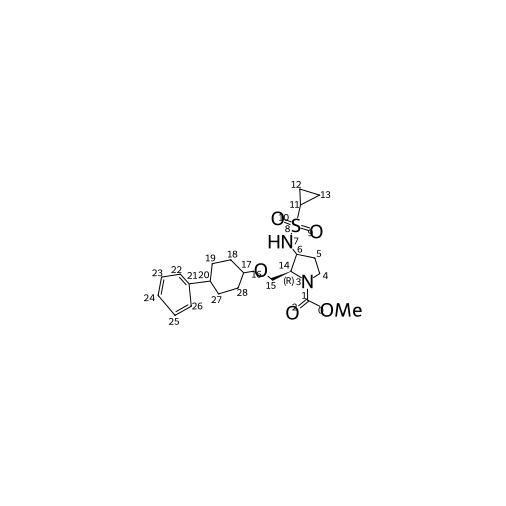 COC(=O)N1CCC(NS(=O)(=O)C2CC2)[C@@H]1COC1CCC(c2ccccc2)CC1